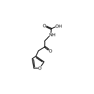 O=C(CNC(=O)O)Cc1ccoc1